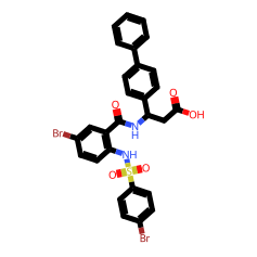 O=C(O)CC(NC(=O)c1cc(Br)ccc1NS(=O)(=O)c1ccc(Br)cc1)c1ccc(-c2ccccc2)cc1